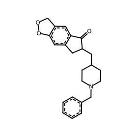 O=C1c2cc3c(cc2CC1CC1CCN(Cc2ccccc2)CC1)OOC3